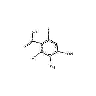 O=C(O)c1c(I)cc(O)c(O)c1O